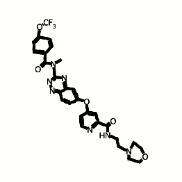 CN(C(=O)c1ccc(OC(F)(F)F)cc1)c1nnc2ccc(Oc3ccnc(C(=O)NCCN4CCOCC4)c3)cc2n1